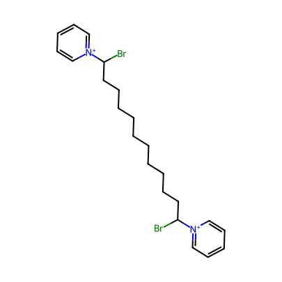 BrC(CCCCCCCCCCC(Br)[n+]1ccccc1)[n+]1ccccc1